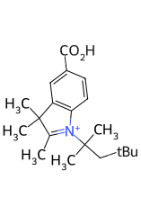 CC1=[N+](C(C)(C)CC(C)(C)C)c2ccc(C(=O)O)cc2C1(C)C